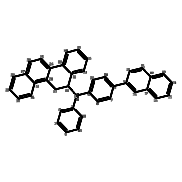 c1ccc(N(c2ccc(-c3ccc4ccccc4c3)cc2)C2Cc3c(ccc4ccccc34)-c3ccccc32)cc1